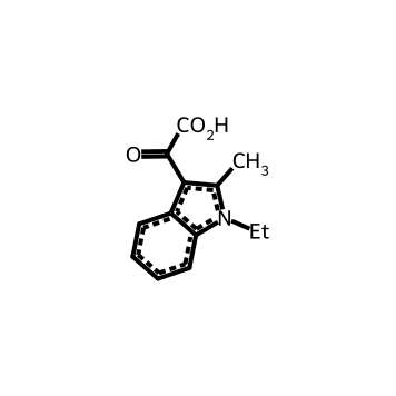 CCn1c(C)c(C(=O)C(=O)O)c2ccccc21